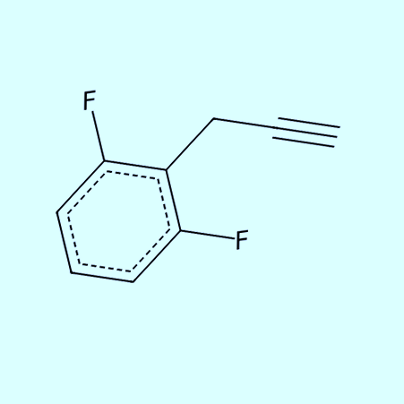 C#CCc1c(F)cccc1F